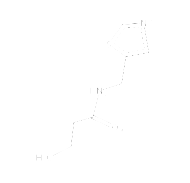 CCCC(=O)NCc1cncs1